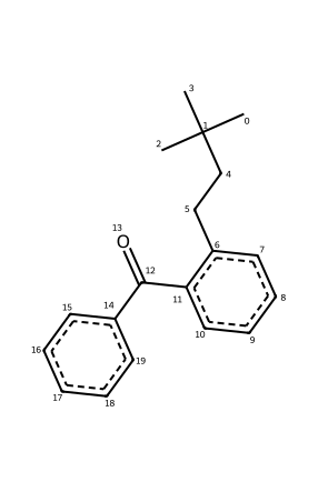 CC(C)(C)CCc1ccccc1C(=O)c1ccccc1